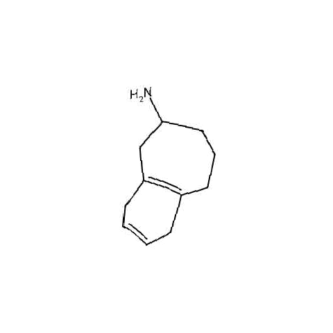 NC1CCCC2=C(CC=CC2)C1